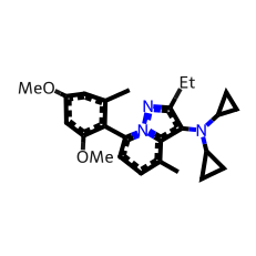 CCc1nn2c(-c3c(C)cc(OC)cc3OC)ccc(C)c2c1N(C1CC1)C1CC1